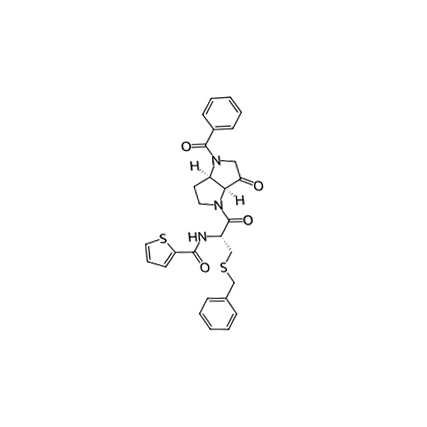 O=C(N[C@@H](CSCc1ccccc1)C(=O)N1CC[C@@H]2[C@H]1C(=O)CN2C(=O)c1ccccc1)c1cccs1